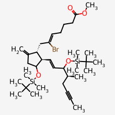 C=C1CC(O[Si](C)(C)C(C)(C)C)[C@H](/C=C/C(O[Si](C)(C)C(C)(C)C)[C@@H](C)CC#CC)[C@H]1C/C(Br)=C/CCCC(=O)OC